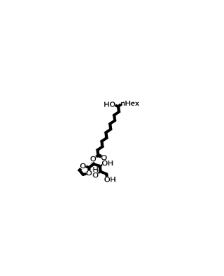 CCCCCCC(O)CCCCCCCCCCC(=O)O[C@@H](C1OCCO1)[C@@H](O)[C@H](O)CO